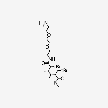 CC(C(CC(C)(C)C)C(=O)N(C)C)C(C)C(C(=O)NCCOCCOCCN)C(C)(C)C